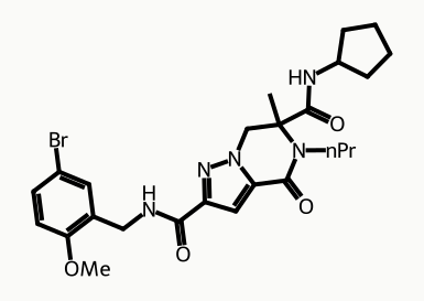 CCCN1C(=O)c2cc(C(=O)NCc3cc(Br)ccc3OC)nn2CC1(C)C(=O)NC1CCCC1